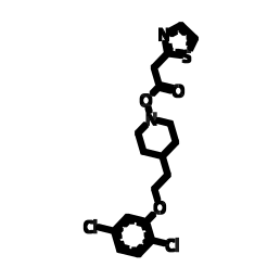 O=C(Cc1nccs1)ON1CCC(CCOc2cc(Cl)ccc2Cl)CC1